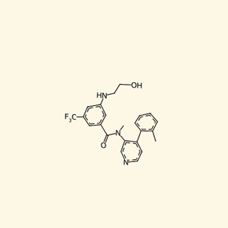 Cc1ccccc1-c1ccncc1N(C)C(=O)c1cc(NCCO)cc(C(F)(F)F)c1